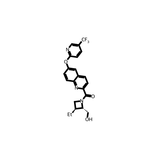 CC[C@H]1CN(C(=O)c2ccc3cc(Oc4ccc(C(F)(F)F)cn4)ccc3n2)[C@@H]1CO